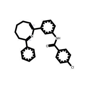 O=C(Nc1cccc(C2=C/CCCC/C(c3ccccc3)=N\2)c1)c1ccc(Cl)cc1